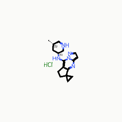 C[C@@H]1CNC[C@@H](Nc2c3c(nc4ccnn24)C2(CC3)CC2)C1.Cl